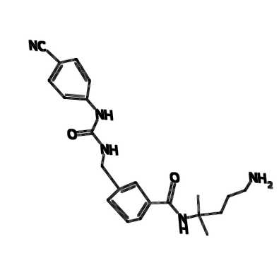 CC(C)(CCCN)NC(=O)c1cccc(CNC(=O)Nc2ccc(C#N)cc2)c1